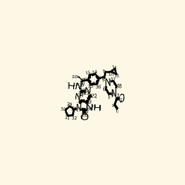 C=CC(=O)N1CCN(C(CC2CC2)c2ccc([C@H](C)Nc3ncc4[nH]c(=O)n(C5CCCC5)c4n3)cc2)CC1